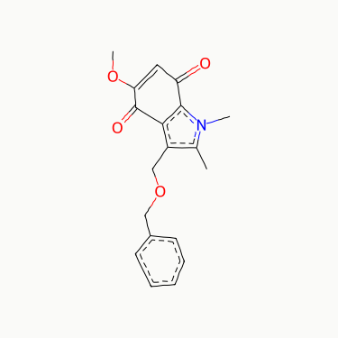 COC1=CC(=O)c2c(c(COCc3ccccc3)c(C)n2C)C1=O